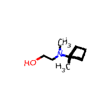 CN(CCO)C1(C)CCC1